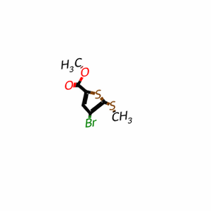 COC(=O)c1cc(Br)c(SC)s1